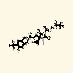 CC(C)(C)C(=O)OCOC(=O)N1C(=O)NC(CCC(=O)N2Cc3cc(Cl)c(C(F)(F)F)cc3C2)(C2CC2)C1=O